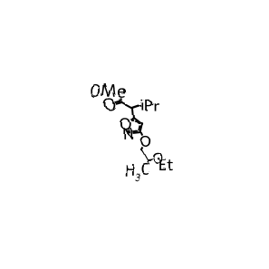 CCOC(C)COc1cc(C(C(=O)OC)C(C)C)on1